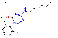 CCCCCCCNc1ncn(-c2c(C)cccc2C)c(=O)n1